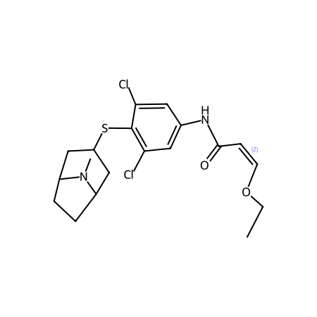 CCO/C=C\C(=O)Nc1cc(Cl)c(SC2CC3CCC(C2)N3C)c(Cl)c1